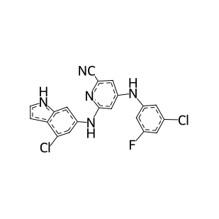 N#Cc1cc(Nc2cc(F)cc(Cl)c2)cc(Nc2cc(Cl)c3cc[nH]c3c2)n1